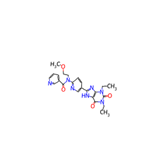 CCn1c(=O)c2[nH]c(-c3ccc(N(CCOC)C(=O)c4cccnc4)nc3)nc2n(CC)c1=O